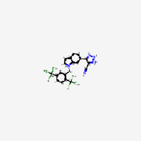 N#Cc1[nH]nnc1-c1ccc2ccn(Cc3cc(C(F)(F)F)ccc3C(F)(F)F)c2c1